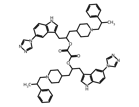 CC(CN1CCC(CC(Cc2c[nH]c3ccc(-n4cnnc4)cc23)OC(=O)C(=O)OC(Cc2c[nH]c3ccc(-n4cnnc4)cc23)CC2CCN(CC(C)c3ccccc3)CC2)CC1)c1ccccc1